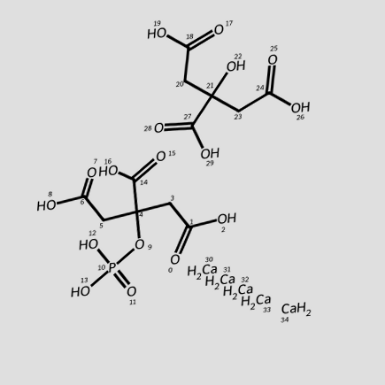 O=C(O)CC(CC(=O)O)(OP(=O)(O)O)C(=O)O.O=C(O)CC(O)(CC(=O)O)C(=O)O.[CaH2].[CaH2].[CaH2].[CaH2].[CaH2]